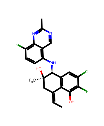 C/C=C1/C[C@](O)(C(F)(F)F)[C@@H](Nc2ccc(F)c3nc(C)ncc23)c2cc(Cl)c(F)c(O)c21